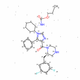 CCCOC(=O)N[C@H]1CCCCC1n1cnc(C(=O)N2CCNC[C@H]2Cc2cc(F)cc(F)c2)c1-c1ccccc1